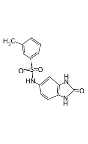 Cc1cccc(S(=O)(=O)Nc2ccc3[nH]c(=O)[nH]c3c2)c1